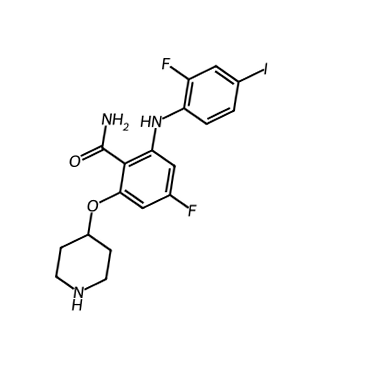 NC(=O)c1c(Nc2ccc(I)cc2F)cc(F)cc1OC1CCNCC1